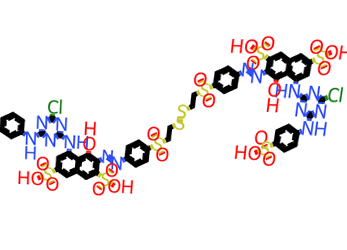 O=S(=O)(O)c1ccc(Nc2nc(Cl)nc(Nc3cc(S(=O)(=O)O)cc4cc(S(=O)(=O)O)c(N=Nc5ccc(S(=O)(=O)CCSSCCS(=O)(=O)c6ccc(N=Nc7c(S(=O)(=O)O)cc8cc(S(=O)(=O)O)cc(Nc9nc(Cl)nc(Nc%10ccccc%10)n9)c8c7O)cc6)cc5)c(O)c34)n2)cc1